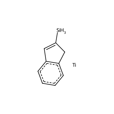 [SiH3]C1=Cc2ccccc2C1.[Ti]